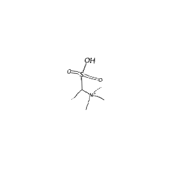 CC([N+](C)(C)C)S(=O)(=O)O